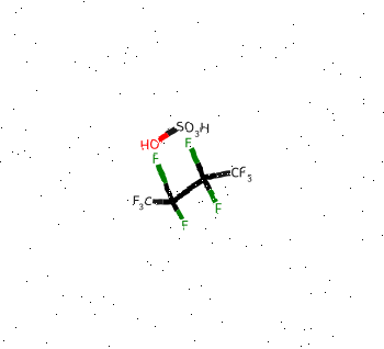 FC(F)(F)C(F)(F)C(F)(F)C(F)(F)F.O=S(=O)(O)O